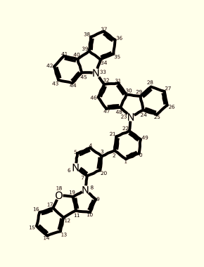 c1cc(-c2ccnc(-n3ccc4c5ccccc5oc43)c2)cc(-n2c3ccccc3c3cc(-n4c5ccccc5c5ccccc54)ccc32)c1